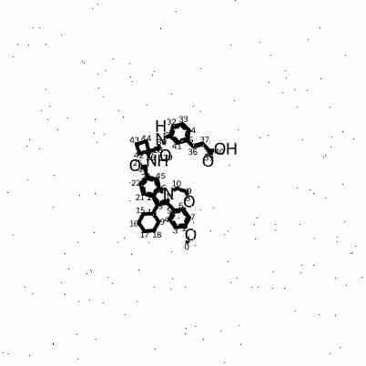 COc1ccc2c(c1)OCCn1c-2c(C2CCCCC2)c2ccc(C(=O)NC3(C(=O)Nc4cccc(C=CC(=O)O)c4)CCC3)cc21